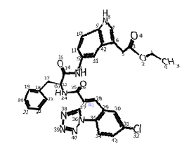 CCOC(=O)Cc1c[nH]c2ccc(NC(=O)[C@H](Cc3ccccc3)NC(=O)/C=C/c3cc(Cl)ccc3-n3cnnn3)cc12